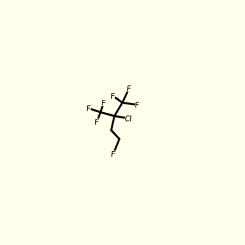 FCCC(Cl)(C(F)(F)F)C(F)(F)F